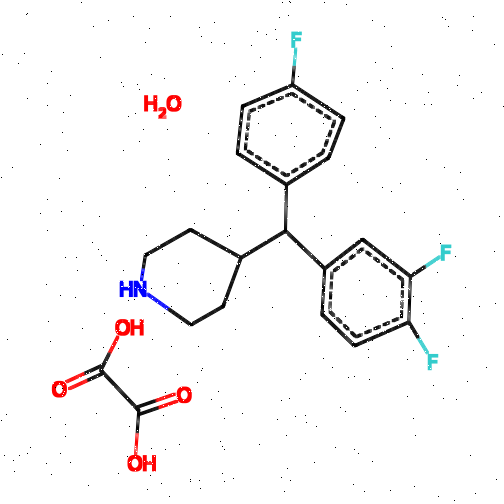 Fc1ccc(C(c2ccc(F)c(F)c2)C2CCNCC2)cc1.O.O=C(O)C(=O)O